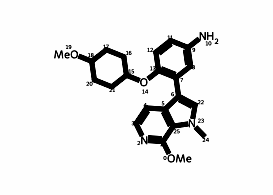 COc1nccc2c(-c3cc(N)ccc3OC3CCC(OC)CC3)cn(C)c12